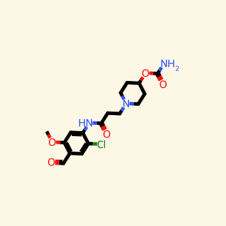 COc1cc(NC(=O)CCN2CCC(OC(N)=O)CC2)c(Cl)cc1C=O